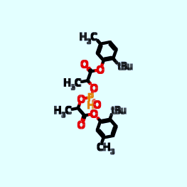 Cc1ccc(C(C)(C)C)c(OC(=O)C(C)O[PH](=O)OC(C)C(=O)Oc2cc(C)ccc2C(C)(C)C)c1